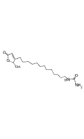 NC(=O)NCCCCCCCCCCCCCC1=CC(=O)OC1O